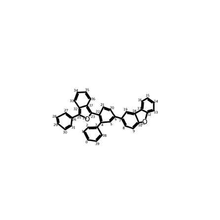 c1ccc(-c2cc(-c3ccc4oc5ccccc5c4c3)ccc2-c2oc(-c3ccccc3)c3ccccc23)cc1